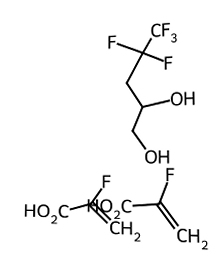 C=C(F)C(=O)O.C=C(F)C(=O)O.OCC(O)CC(F)(F)C(F)(F)F